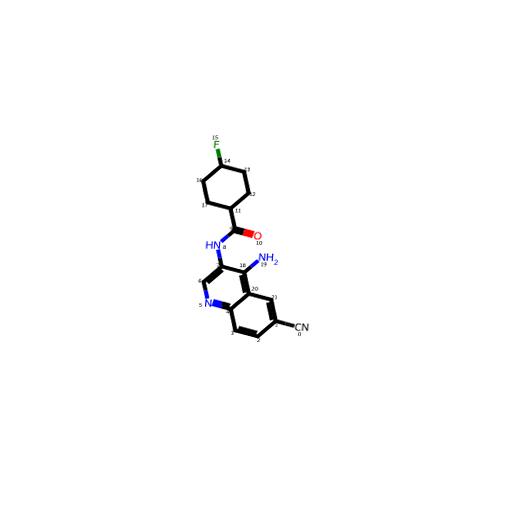 N#Cc1ccc2ncc(NC(=O)C3CCC(F)CC3)c(N)c2c1